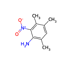 Cc1cc(C)c(N)c([N+](=O)[O-])c1C